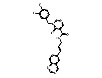 O=C(NC/C=C/c1ccc2ncncc2c1)c1cncn(Cc2ccc(F)c(F)c2)c1=O